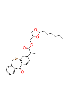 CCCCCCC1OCC(COC(=O)C(C)c2ccc3c(c2)SCc2ccccc2C3=O)O1